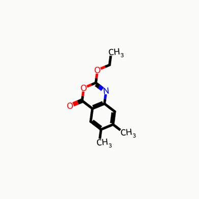 CCOc1nc2cc(C)c(C)cc2c(=O)o1